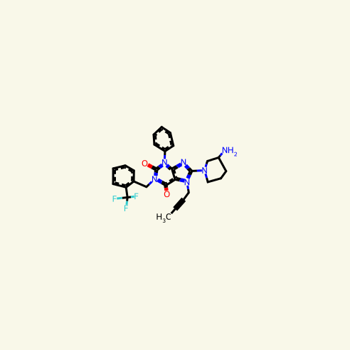 CC#CCn1c(N2CCCC(N)C2)nc2c1c(=O)n(Cc1ccccc1C(F)(F)F)c(=O)n2-c1ccccc1